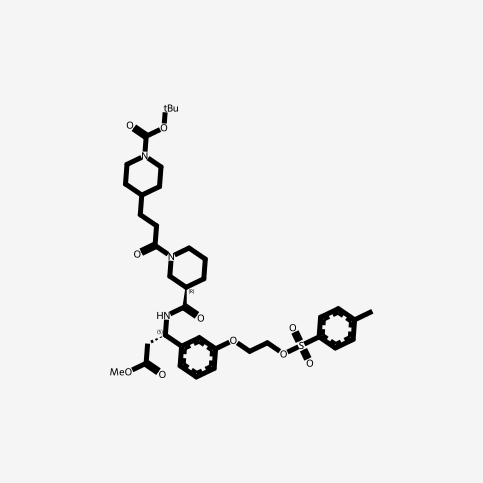 COC(=O)C[C@H](NC(=O)[C@@H]1CCCN(C(=O)CCC2CCN(C(=O)OC(C)(C)C)CC2)C1)c1cccc(OCCOS(=O)(=O)c2ccc(C)cc2)c1